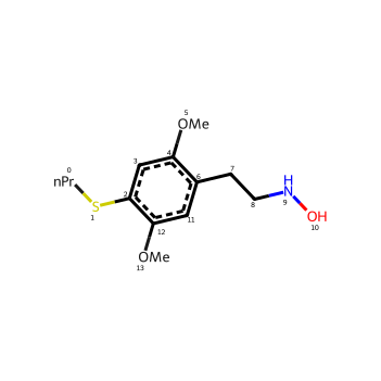 CCCSc1cc(OC)c(CCNO)cc1OC